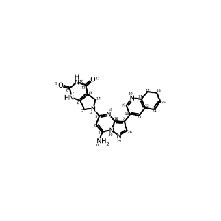 Nc1cc(N2Cc3[nH]c(=O)[nH]c(=O)c3C2)nc2c(-c3cnc4c(c3)C=CCC4)cnn12